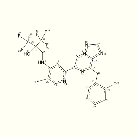 OC(CNc1nc(-c2cn3ncnc3c(Cc3ccccc3F)n2)ncc1F)(C(F)(F)F)C(F)(F)F